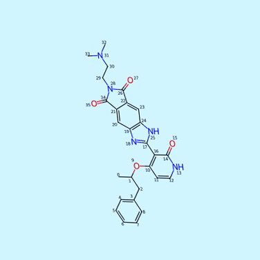 CC(Cc1ccccc1)Oc1cc[nH]c(=O)c1-c1nc2cc3c(cc2[nH]1)C(=O)N(CCN(C)C)C3=O